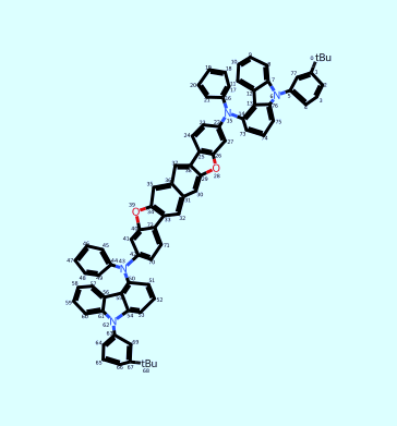 CC(C)(C)c1cccc(-n2c3ccccc3c3c(N(c4ccccc4)c4ccc5c(c4)oc4cc6cc7c(cc6cc45)oc4cc(N(c5ccccc5)c5cccc6c5c5ccccc5n6-c5cccc(C(C)(C)C)c5)ccc47)cccc32)c1